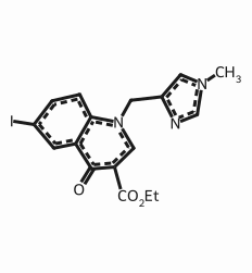 CCOC(=O)c1cn(Cc2cn(C)cn2)c2ccc(I)cc2c1=O